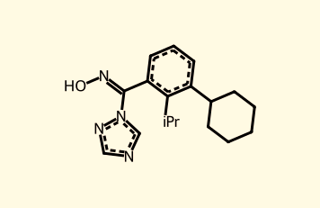 CC(C)c1c(C(=NO)n2cncn2)cccc1C1CCCCC1